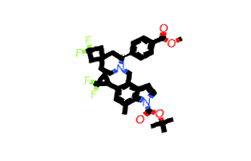 COC(=O)c1ccc([C@@H]2CC3(CCN2Cc2c(C4CC4(F)F)cc(C)c4c2ccn4C(=O)OC(C)(C)C)CC(F)(F)C3)cc1